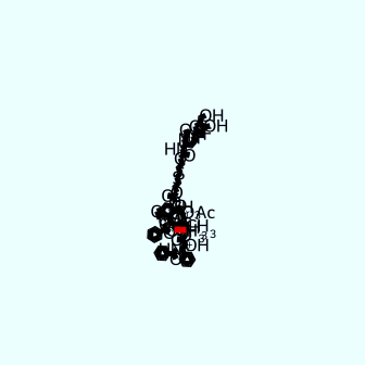 CC(=O)O[C@H]1C(=O)[C@]2(C)[C@@H](OC(=O)OCCSSCCOC(=O)Nc3ccn(C4OC(CO)C(O)C4(F)F)c(=O)n3)CC3OC[C@@]3(OC(C)=O)[C@H]2[C@H](OC(=O)c2ccccc2)[C@]2(O)C[C@H](OC(=O)[C@H](O)[C@@H](NC(=O)c3ccccc3)c3ccccc3)C(C)=C1C2(C)C